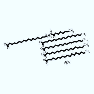 CCCCCCCC(=O)NC.CCCCCCCCCCCCCCCCCC(=O)[O-].CCCCCCCCCCCCCCCCCC(=O)[O-].CCCCCCCCCCCCCCCCCC(=O)[O-].CCCCCCCCCCCCCCCCCC(=O)[O-].CCCCCCCCCCCCCCCCCC(=O)[O-].[Al+3].[Pb+2]